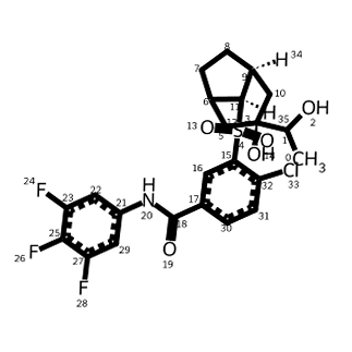 CC(O)[C@]1(O)CC2CC[C@@H](C1)[C@H]2S(=O)(=O)c1cc(C(=O)Nc2cc(F)c(F)c(F)c2)ccc1Cl